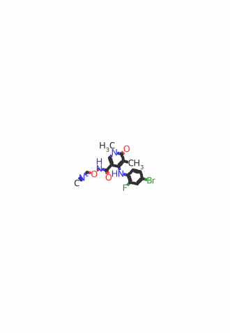 [C-]#[N+]CONC(=O)c1cn(C)c(=O)c(C)c1Nc1ccc(Br)cc1F